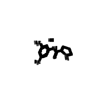 Cc1cc(C)cc(NC(=O)C2CCCN2)c1.Cl